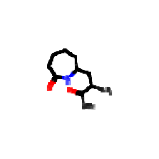 COC(=O)C(CC1CCCCC(=O)N1)[N+](=O)[O-]